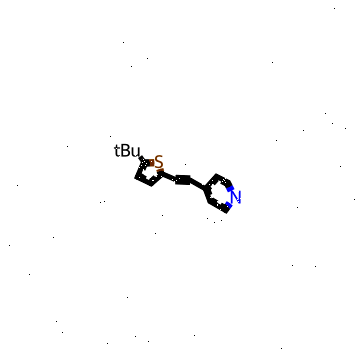 CC(C)(C)c1ccc(C#Cc2ccncc2)s1